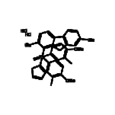 Cl.Cl.[CH2]=[Zr]([C]1=CC=CC1)([c]1ccc(OC)c(C)c1)([c]1ccc(OC)c(C)c1)[c]1c(C(C)(C)C)ccc2c1Cc1cc(C(C)(C)C)ccc1-2